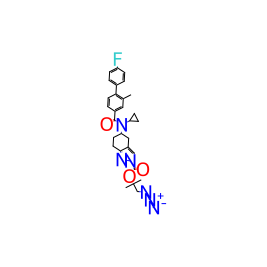 Cc1cc(C(=O)N(C2CC2)C2CCc3nn(C(=O)OC(C)(C)CN=[N+]=[N-])cc3C2)ccc1-c1ccc(F)cc1